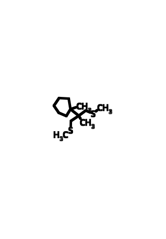 CSCC(C)(CSC)C1(C)CCCCC1